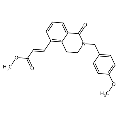 COC(=O)/C=C/c1cccc2c1CCN(Cc1ccc(OC)cc1)C2=O